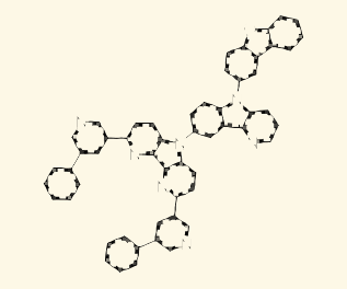 c1ccc(-c2cncc(-c3ccc4c(n3)c3nc(-c5cncc(-c6ccccc6)c5)ccc3n4-c3ccc4c(c3)c3ncccc3n4-c3ccc4oc5ccccc5c4c3)c2)cc1